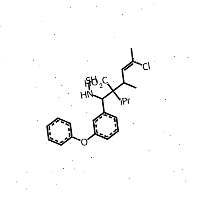 CC(Cl)=CC(C)C(C(=O)O)(C(C)C)C(NS)c1cccc(Oc2ccccc2)c1